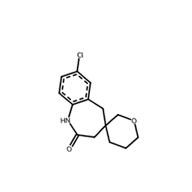 O=C1CC2(CCCOC2)Cc2cc(Cl)ccc2N1